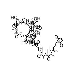 CC(NC(=O)CCCN1C(=O)C=CC1=O)C(=O)NC(C)C(=O)NCCCC(=O)Nc1ccc2[nH]c3c(c2c1)C[C@@H]1NC(=O)[C@H](C)NC(=O)[C@@H]2C[C@@H](O)CN2C(=O)[C@@H](CS3)NC(=O)[C@@H](C(C)O)NC(=O)[C@H](C)NC(=O)[C@H](C[C@@](C)(O)CO)NC1=O